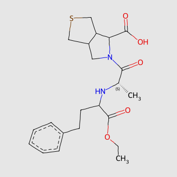 CCOC(=O)C(CCc1ccccc1)N[C@@H](C)C(=O)N1CC2CSCC2C1C(=O)O